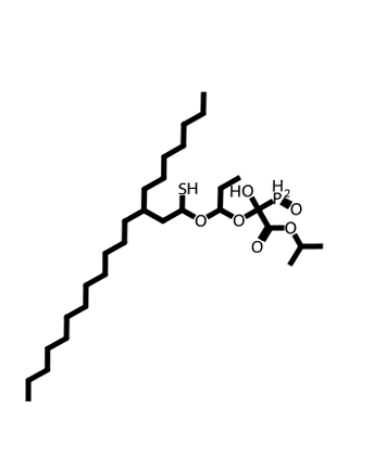 CCCCCCCCCCCCC(CCCCCCC)CC(S)OC(CC)OC(O)([PH2]=O)C(=O)OC(C)C